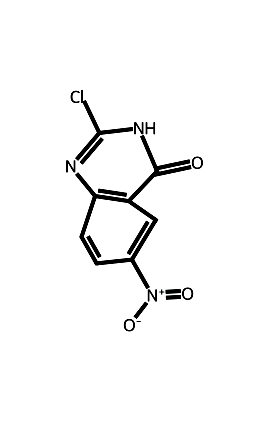 O=c1[nH]c(Cl)nc2ccc([N+](=O)[O-])cc12